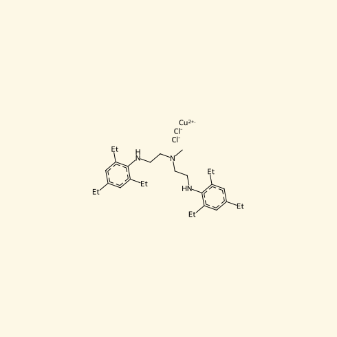 CCc1cc(CC)c(NCCN(C)CCNc2c(CC)cc(CC)cc2CC)c(CC)c1.[Cl-].[Cl-].[Cu+2]